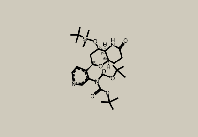 CC(C)(C)OC(=O)N(C(=O)OC(C)(C)C)c1cnccc1[C@H]1C[C@@H](O[Si](C)(C)C(C)(C)C)[C@H]2NC(=O)CC[C@H]2O1